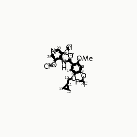 COc1cc(OC(F)F)c(OCC2CC2)cc1C(=O)Nc1c(OCl)cncc1OCl